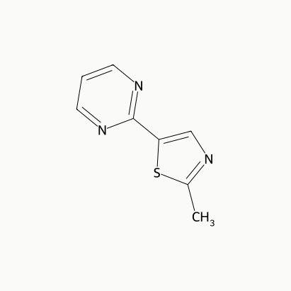 Cc1ncc(-c2ncccn2)s1